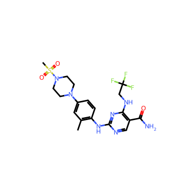 Cc1cc(N2CCN(S(C)(=O)=O)CC2)ccc1Nc1ncc(C(N)=O)c(NCC(F)(F)F)n1